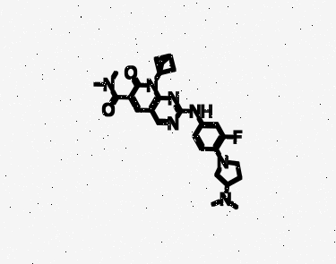 CN(C)C(=O)c1cc2cnc(Nc3ccc(N4CCC(N(C)C)C4)c(F)c3)nc2n(C23CC(C2)C3)c1=O